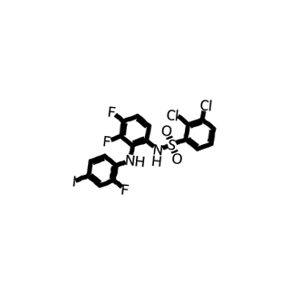 O=S(=O)(Nc1ccc(F)c(F)c1Nc1ccc(I)cc1F)c1cccc(Cl)c1Cl